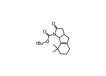 CC(C)(C)OC(=O)N1C(=O)CC2CC3=C(C21)C(C)(C)CCC3